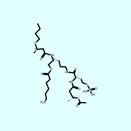 CCCCO[C@H](C)CC(=O)N[C@H](CCCNC(=O)[C@H](CCOP(=O)(O)O)NC(=O)C[C@@H](C)OC(C)=O)COC(=O)CCCCCN